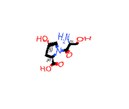 N[C@@H](CO)C(=O)N1C[C@@H](O)C[C@@H]1C(=O)O